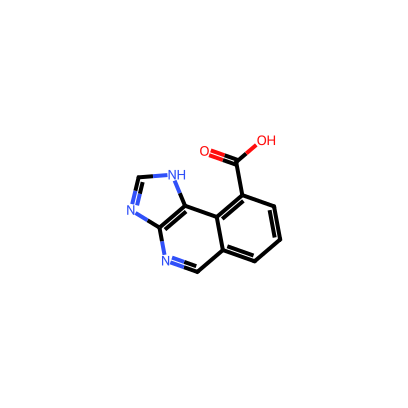 O=C(O)c1cccc2cnc3nc[nH]c3c12